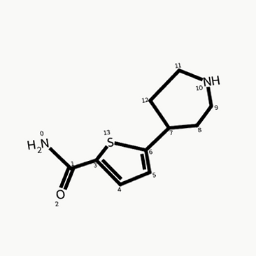 NC(=O)c1ccc(C2CCNCC2)s1